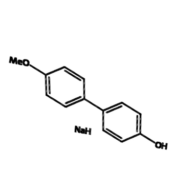 COc1ccc(-c2ccc(O)cc2)cc1.[NaH]